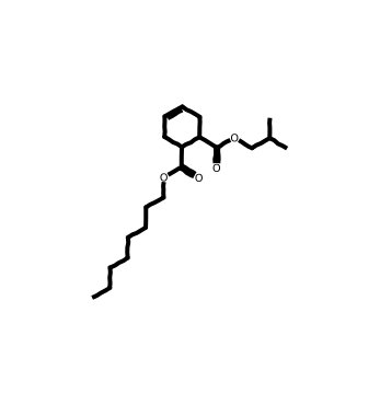 CCCCCCCCOC(=O)C1CC=CCC1C(=O)OCC(C)C